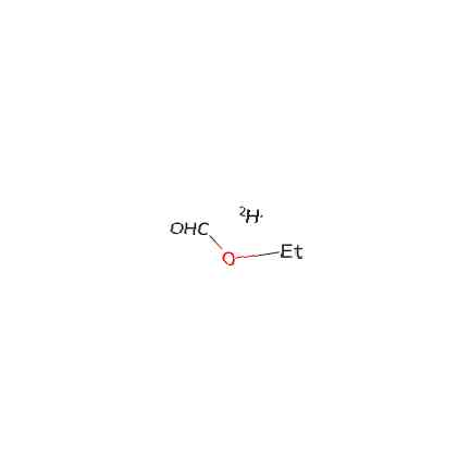 CCOC=O.[2H]